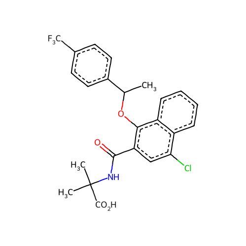 CC(Oc1c(C(=O)NC(C)(C)C(=O)O)cc(Cl)c2ccccc12)c1ccc(C(F)(F)F)cc1